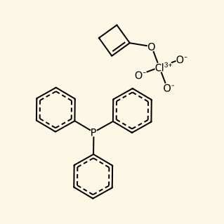 [O-][Cl+3]([O-])([O-])OC1=CCC1.c1ccc(P(c2ccccc2)c2ccccc2)cc1